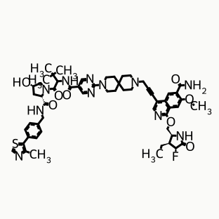 CC[C@@H]1[C@H](F)C(=O)N[C@@H]1COc1ncc(C#CCN2CCC3(CC2)CCN(c2ncc(C(=O)NC(C(=O)N4C[C@H](O)C[C@H]4C(=O)NCc4ccc(-c5scnc5C)cc4)C(C)(C)C)cn2)CC3)c2cc(C(N)=O)c(OC)cc12